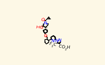 O=C(O)c1cnn(-c2cccc(C3=C(COc4ccc([C@H]5CCN(C(=O)C6CC6)C[C@@H]5O)cc4)CCCC3)n2)c1C(F)(F)F